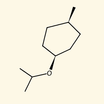 CC(C)O[C@H]1CC[C@@H](C)CC1